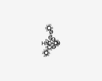 CC1=C(C(=O)OCCOc2ccccc2)C(c2ccncc2)C2=C(CC(c3ccccc3)CC2=O)N1